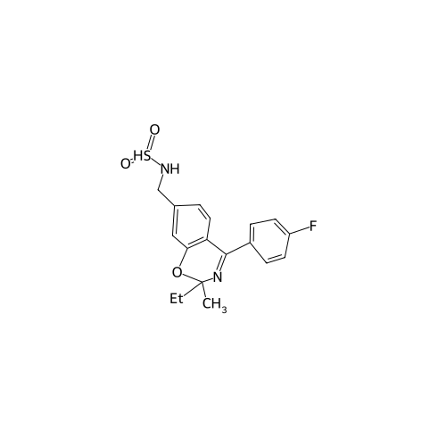 CCC1(C)N=C(c2ccc(F)cc2)c2ccc(CN[SH](=O)=O)cc2O1